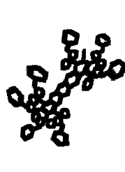 O=C(OCc1ccccc1)c1c(I)c(C(=O)OCc2ccccc2)c2cc3cc4cc5c(C(=O)OCc6ccccc6)c(C(=O)OCc6ccccc6)c(C(=O)OCc6ccccc6)c(C(=O)OCc6ccccc6)c5cc4cc3cc2c1C(=O)OCc1ccccc1